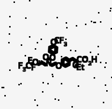 CCOC(Cc1ccc(OCCN(CCCOC(F)(F)C(F)(F)F)C(=O)Oc2ccc(OC(F)(F)F)cc2)cc1)C(=O)O